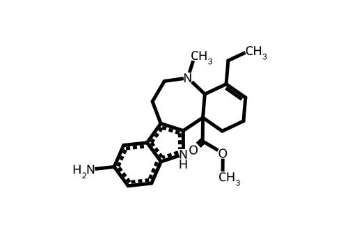 CCC1=CCCC2(C(=O)OC)c3[nH]c4ccc(N)cc4c3CCN(C)C12